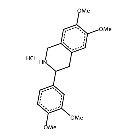 COc1ccc(C2Cc3cc(OC)c(OC)cc3CN2)cc1OC.Cl